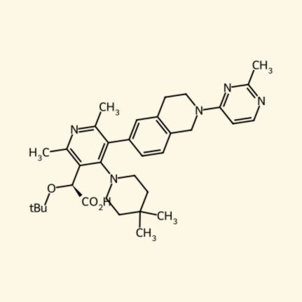 Cc1nccc(N2CCc3cc(-c4c(C)nc(C)c([C@H](OC(C)(C)C)C(=O)O)c4N4CCC(C)(C)CC4)ccc3C2)n1